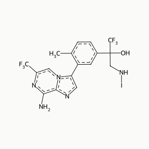 Cc1ccc(C(O)(CNI)C(F)(F)F)cc1-c1cnc2c(N)nc(C(F)(F)F)cn12